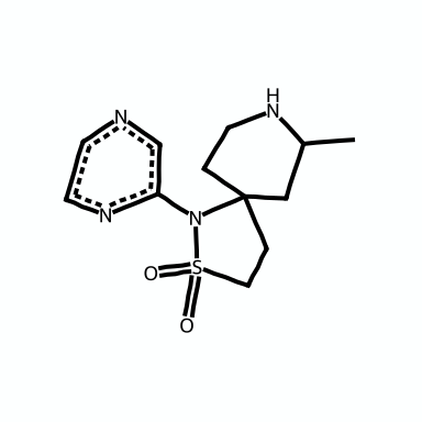 CC1CC2(CCN1)CCS(=O)(=O)N2c1cnccn1